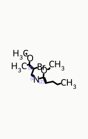 CCC/C=C(/N=C\C(Br)=C(/C)OC)OCC